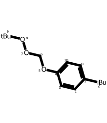 CCC(C)c1ccc(OCOOC(C)(C)C)cc1